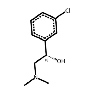 CN(C)C[C@@H](O)c1cccc(Cl)c1